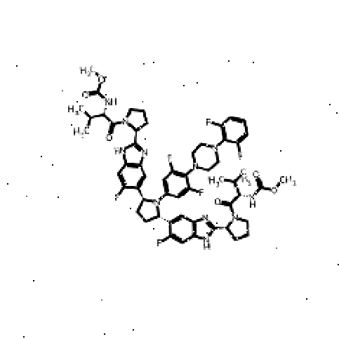 COC(=O)N[C@H](C(=O)N1CCC[C@H]1c1nc2cc([C@@H]3CC[C@@H](c4cc5nc([C@@H]6CCCN6C(=O)[C@@H](NC(=O)OC)C(C)C)[nH]c5cc4F)N3c3cc(F)c(N4CCN(c5c(F)cccc5F)CC4)c(F)c3)c(F)cc2[nH]1)C(C)C